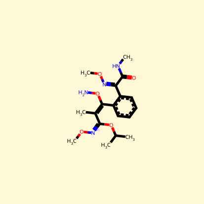 CNC(=O)C(=NOC)c1ccccc1C(ON)=C(C)/C(=N\OC)OC(C)C